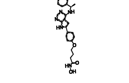 C[C@@H](Nc1ncnc2[nH]c(-c3ccc(OCCCC(=O)NO)cc3)cc12)c1ccccc1